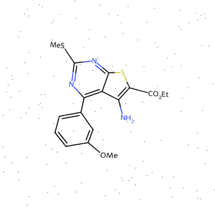 CCOC(=O)c1sc2nc(SC)nc(-c3cccc(OC)c3)c2c1N